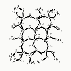 CO[Si]1(OC)C[Si]2(OC)O[Si](OC)(OC)C[Si]3(OC)O[Si]4(OC)C[Si](OC)(OC)O[Si]5(OC)C[Si](OC)(OC)O[Si]6(OC)C[Si](O5)(O4)O[Si](C[Si](OC)(O1)O6)(O2)O3